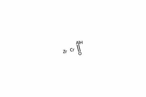 [Cr].[O]=[AlH].[Zr]